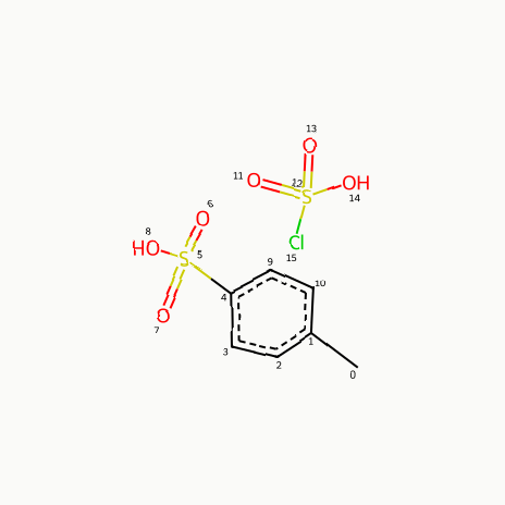 Cc1ccc(S(=O)(=O)O)cc1.O=S(=O)(O)Cl